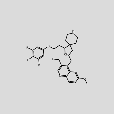 COc1ccc2ncc(CF)c(CCCC3(C(O)CCOc4cc(F)c(F)c(F)c4)CCNCC3)c2c1